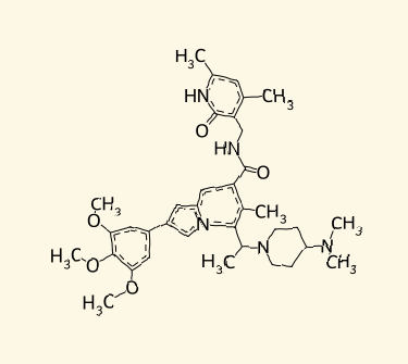 COc1cc(-c2cc3cc(C(=O)NCc4c(C)cc(C)[nH]c4=O)c(C)c(C(C)N4CCC(N(C)C)CC4)n3c2)cc(OC)c1OC